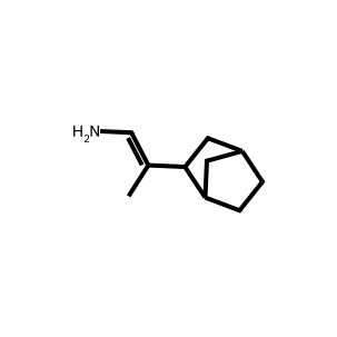 C/C(=C\N)C1CC2CCC1C2